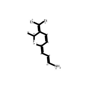 CCC(CC)=C(\C=C/C(C)=C\C=C\N)C(C)F